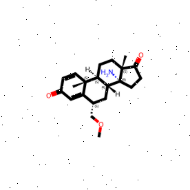 COC[C@H]1C[C@@H]2[C@H](CC[C@]3(C)C(=O)CC[C@@]23N)[C@@]2(C)C=CC(=O)C=C12